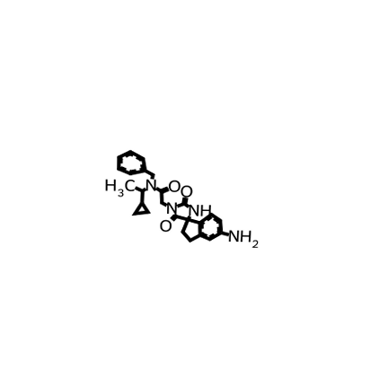 CC(C1CC1)N(Cc1ccccc1)C(=O)CN1C(=O)NC2(CCc3cc(N)ccc32)C1=O